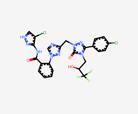 O=C(Nc1n[nH]cc1Cl)c1ccccc1-n1cnc(Cn2nc(-c3ccc(Cl)cc3)n(CC(O)C(F)(F)F)c2=O)n1